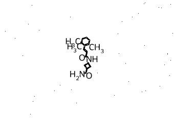 CC1=C(/C=C/C(=O)NC2CC(C(N)=O)C2)C(C)(C)CCC1